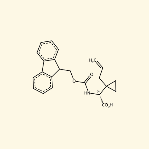 C=CCC1([C@@H](NC(=O)OCC2c3ccccc3-c3ccccc32)C(=O)O)CC1